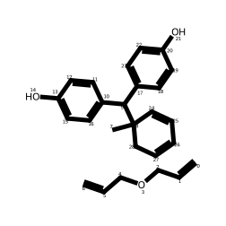 C=CCOCC=C.CC1(C(c2ccc(O)cc2)c2ccc(O)cc2)C=CC=CC1